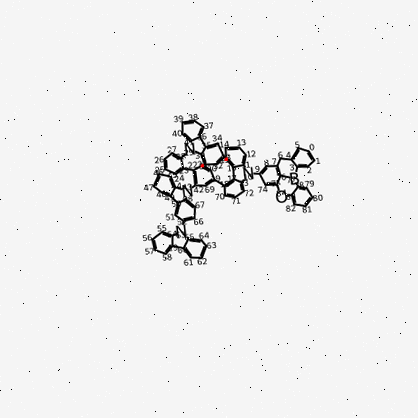 c1ccc2c(c1)Cc1cc(-n3c4ccccc4c4c(-c5ccc(-c6ccccc6-n6c7ccccc7c7ccccc76)c(-n6c7ccccc7c7cc(-n8c9ccccc9c9ccccc98)ccc76)c5)cccc43)cc3c1B2c1ccccc1O3